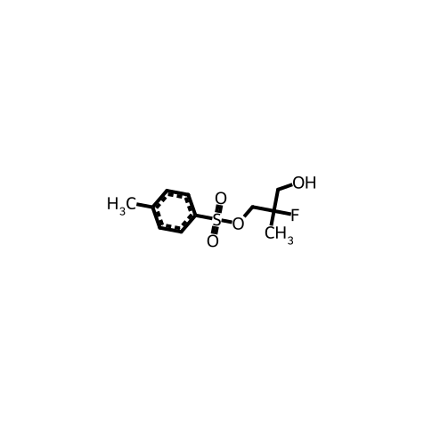 Cc1ccc(S(=O)(=O)OCC(C)(F)CO)cc1